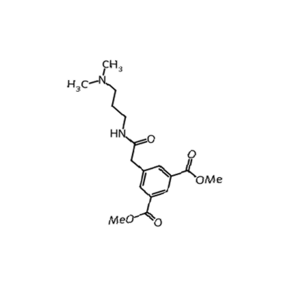 COC(=O)c1cc(CC(=O)NCCCN(C)C)cc(C(=O)OC)c1